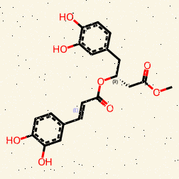 COC(=O)C[C@@H](Cc1ccc(O)c(O)c1)OC(=O)/C=C/c1ccc(O)c(O)c1